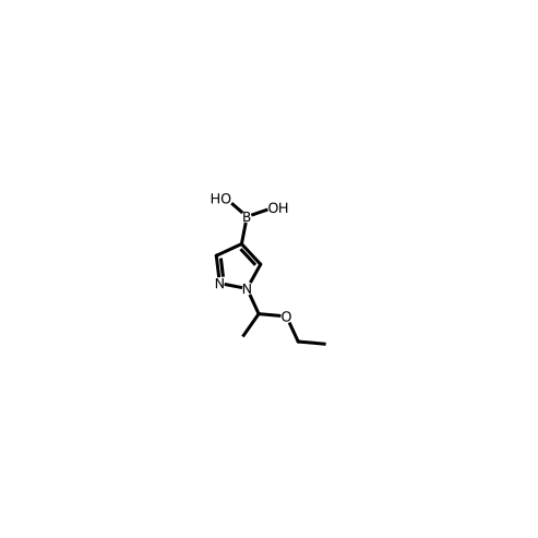 CCOC(C)n1cc(B(O)O)cn1